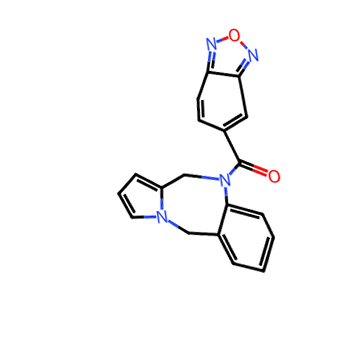 O=C(c1ccc2nonc2c1)N1Cc2cccn2Cc2ccccc21